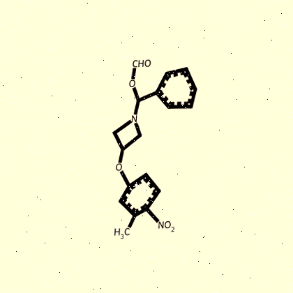 Cc1cc(OC2CN(C(OC=O)c3ccccc3)C2)ccc1[N+](=O)[O-]